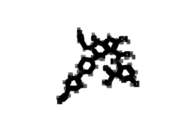 Cc1sc2c(=O)n(CC#N)c(N3CCN(c4ncc(C#N)cn4)CC3)nc2c1C(C)Nc1ccc(Cl)nc1C(=O)O